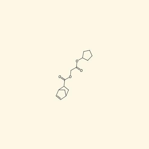 O=C(COC(=O)C1CC2C=CC1C2)OC1CCCC1